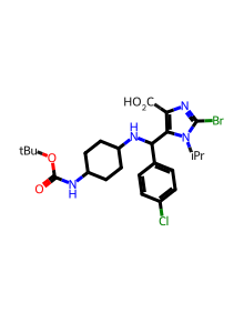 CC(C)n1c(Br)nc(C(=O)O)c1C(NC1CCC(NC(=O)OC(C)(C)C)CC1)c1ccc(Cl)cc1